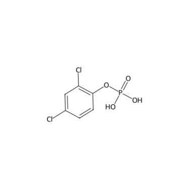 O=P(O)(O)Oc1ccc(Cl)cc1Cl